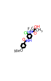 COc1ccc(C(=O)Nc2ccc(NC(=O)[C@@](C)(O)C(F)(F)F)c(Cl)c2)cc1